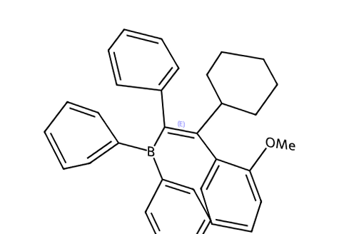 COc1ccccc1/C(=C(\B(c1ccccc1)c1ccccc1)c1ccccc1)C1CCCCC1